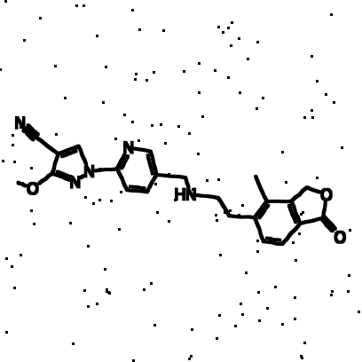 COc1nn(-c2ccc(CNCCc3ccc4c(c3C)COC4=O)cn2)cc1C#N